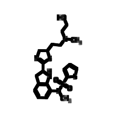 CN(CCO)CCC1CN=C(C2Cc3cccc(N(C)S(=O)(=O)c4cccs4)c3N2)S1